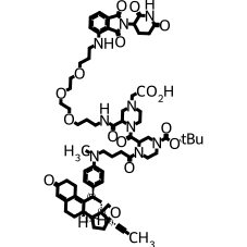 CC#C[C@]12CC[C@H]3[C@@H]4CCC5=CC(=O)CCC5=C4[C@@H](c4ccc(N(C)CCCC(=O)N5CCN(C(=O)OC(C)(C)C)CC5C(=O)N5CCN(CC(=O)O)CC5C(=O)NCCCOCCOCCOCCCNc5cccc6c5C(=O)N(C5CCC(=O)NC5=O)C6=O)cc4)C[C@@]31CO2